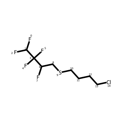 FC(F)C(F)(F)C(F)CSCCCCCl